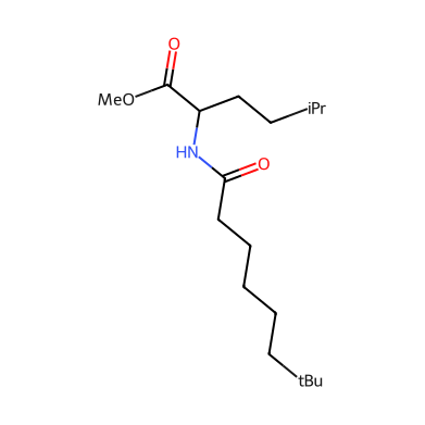 COC(=O)C(CCC(C)C)NC(=O)CCCCCC(C)(C)C